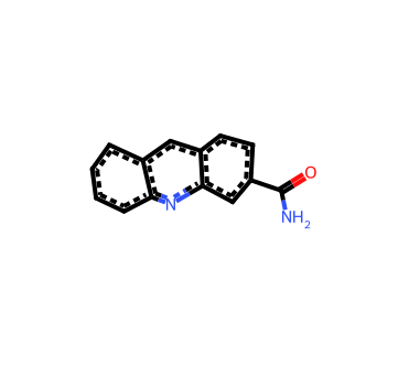 NC(=O)c1ccc2cc3ccccc3nc2c1